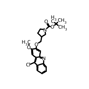 COc1cc2c(Cl)c3ccccc3nc2cc1OCC1CCN(C(=O)OC(C)(C)C)C1